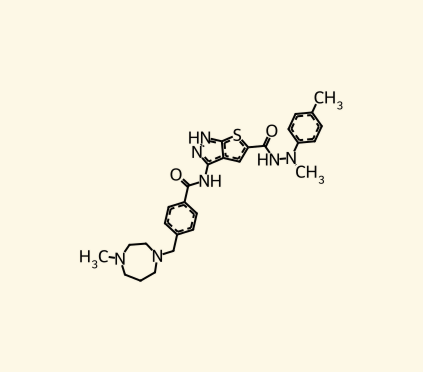 Cc1ccc(N(C)NC(=O)c2cc3c(NC(=O)c4ccc(CN5CCCN(C)CC5)cc4)n[nH]c3s2)cc1